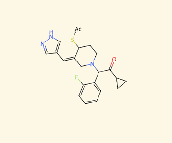 CC(=O)SC1CCN(C(C(=O)C2CC2)c2ccccc2F)C/C1=C/c1cn[nH]c1